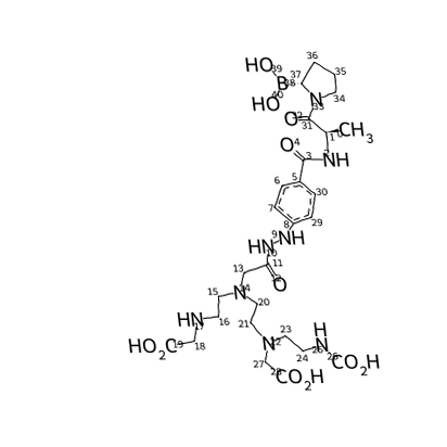 C[C@@H](NC(=O)c1ccc(NNC(=O)CN(CCNCC(=O)O)CCN(CCNC(=O)O)CC(=O)O)cc1)C(=O)N1CCC[C@H]1B(O)O